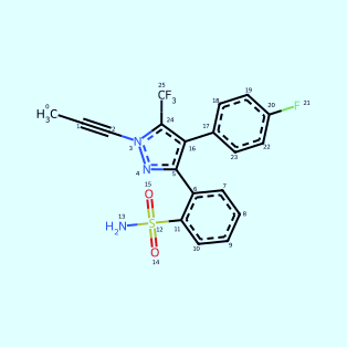 CC#Cn1nc(-c2ccccc2S(N)(=O)=O)c(-c2ccc(F)cc2)c1C(F)(F)F